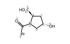 CC(C)C(=O)N1C[C@@H](O)C[C@@H]1C(=O)O